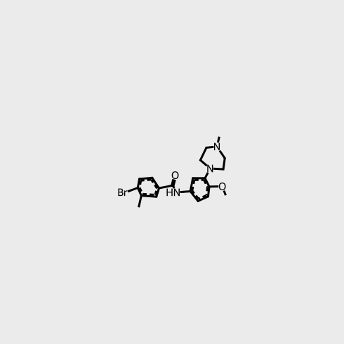 COc1ccc(NC(=O)c2ccc(Br)c(C)c2)cc1N1CCN(C)CC1